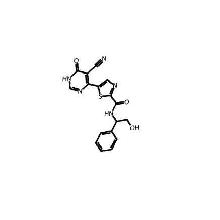 N#Cc1c(-c2cnc(C(=O)NC(CO)c3ccccc3)s2)nc[nH]c1=O